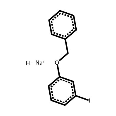 Ic1cccc(OCc2ccccc2)c1.[H-].[Na+]